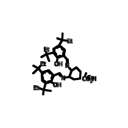 CC(=O)O.CCC(C)(C)c1cc(/C=N/C2CCCCC2/N=C/c2cc(C(C)(C)CC)cc(C(C)(C)CC)c2O)c(O)c(C(C)(C)CC)c1.[Co]